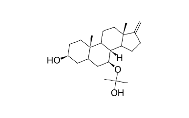 C=C1CCC2[C@H]3C(CC[C@]12C)[C@@]1(C)CC[C@H](O)CC1C[C@@H]3OC(C)(C)O